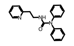 O=C(NCCc1ccccn1)N(c1ccccc1)c1ccccc1